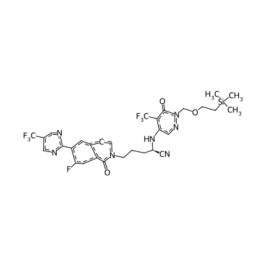 C[Si](C)(C)CCOCn1ncc(N[C@@H](C#N)CCCn2ccc3cc(-c4ncc(C(F)(F)F)cn4)c(F)cc3c2=O)c(C(F)(F)F)c1=O